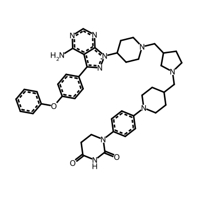 Nc1ncnc2c1c(-c1ccc(Oc3ccccc3)cc1)nn2C1CCN(CC2CCN(CC3CCN(c4ccc(N5CCC(=O)NC5=O)cc4)CC3)C2)CC1